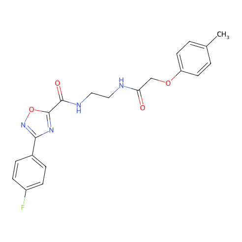 Cc1ccc(OCC(=O)NCCNC(=O)c2nc(-c3ccc(F)cc3)no2)cc1